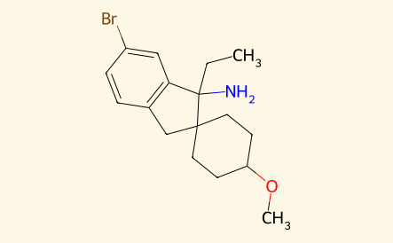 CCC1(N)c2cc(Br)ccc2CC12CCC(OC)CC2